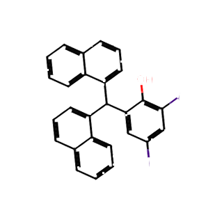 Oc1c(I)cc(I)cc1C(c1cccc2ccccc12)c1cccc2ccccc12